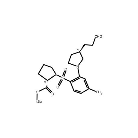 Cc1ccc(S(=O)(=O)N2CCC[C@H]2C(=O)OC(C)(C)C)c(N2CC[C@@H](CCC=O)C2)c1